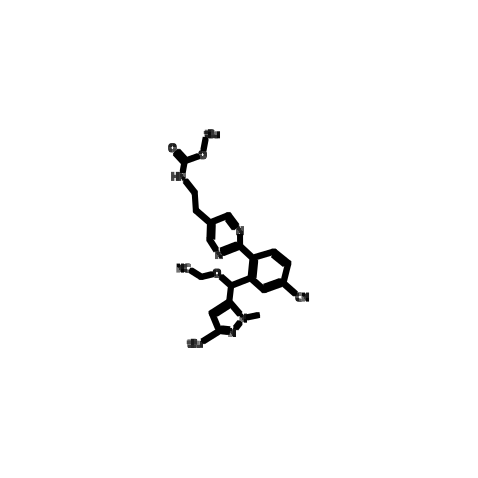 Cn1nc(C(C)(C)C)cc1C(OCC#N)c1cc(C#N)ccc1-c1ncc(CCNC(=O)OC(C)(C)C)cn1